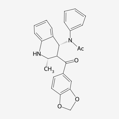 CC(=O)N(c1ccccc1)[C@H]1c2ccccc2N[C@@H](C)C1C(=O)c1ccc2c(c1)OCO2